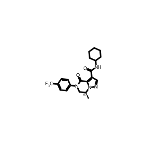 C[C@H]1CN(c2ccc(C(F)(F)F)cc2)C(=O)c2c(C(=O)NC3CCCCC3)cnn21